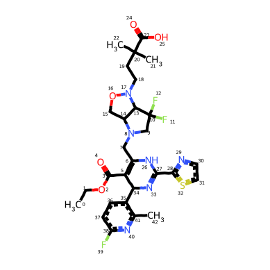 CCOC(=O)C1=C(CN2CC(F)(F)C3C2CON3CCC(C)(C)C(=O)O)NC(c2nccs2)=NC1c1ccc(F)nc1C